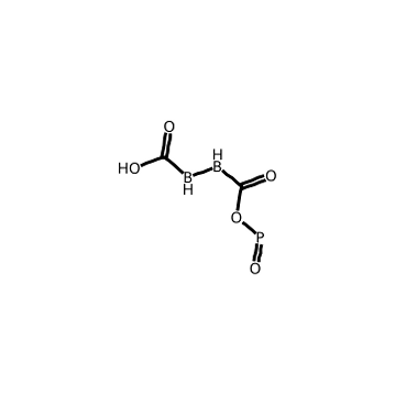 O=POC(=O)BBC(=O)O